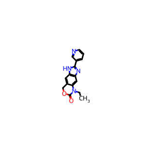 CCN1C(=O)OCc2cc3[nH]c(-c4cccnc4)nc3cc21